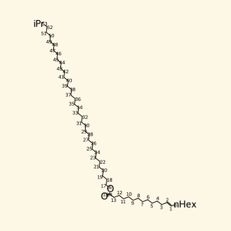 CCCCCCC=CCCCCCCCCCCCC(=O)OCCCCCCCCCCCCCCCCCCCCCCCCCCCCCCCCCCCCC(C)C